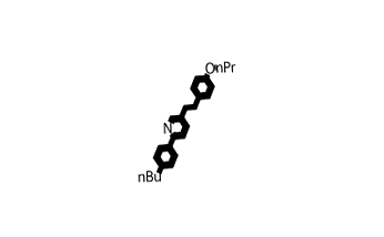 CCCCc1ccc(-c2ccc(CCc3ccc(OCCC)cc3)cn2)cc1